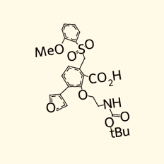 COc1ccccc1S(=O)(=O)Cc1ccc(-c2ccoc2)c(OCCNC(=O)OC(C)(C)C)c1C(=O)O